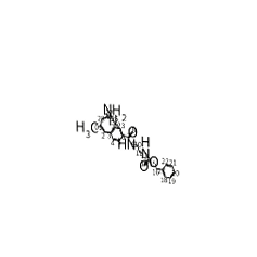 CC1=Cc2ccc(C(=O)NCCNC(=O)OCc3ccccc3)cc2N=C(N)C1